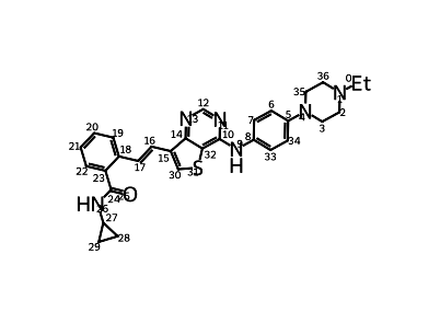 CCN1CCN(c2ccc(Nc3ncnc4c(C=Cc5ccccc5C(=O)NC5CC5)csc34)cc2)CC1